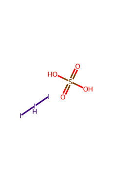 I[IH]I.O=S(=O)(O)O